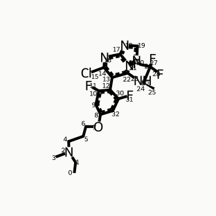 CCN(C)CCCOc1cc(F)c(-c2c(Cl)nc3ncnn3c2N[C@H](C)C(F)(F)F)c(F)c1